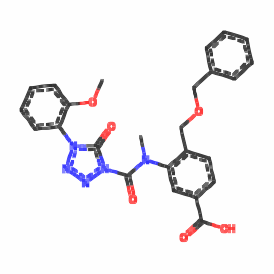 COc1ccccc1-n1nnn(C(=O)N(C)c2cc(C(=O)O)ccc2COCc2ccccc2)c1=O